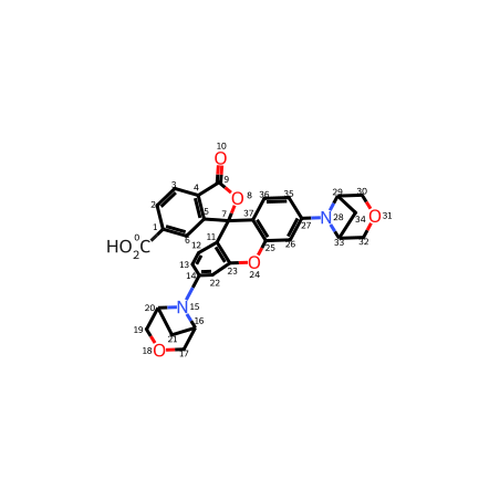 O=C(O)c1ccc2c(c1)C1(OC2=O)c2ccc(N3C4COCC3C4)cc2Oc2cc(N3C4COCC3C4)ccc21